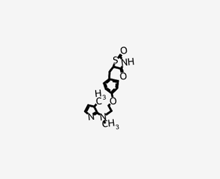 CC1C=CN=C1N(C)CCOc1ccc(CC2SC(=O)NC2=O)cc1